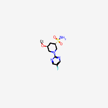 CCO[C@H]1C[C@H](S(N)(=O)=O)CN(c2ncc(F)cn2)C1